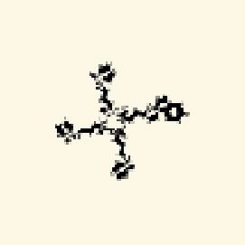 C=C[Si](C)(C=C)OCCC[Si]1(C)O[Si](C)(CCCO[Si](C)(C=C)C=C)O[Si](C)(CCCO[Si](C=C)(C=C)c2ccccc2)O[Si](C)(CCCO[Si](C)(C=C)C=C)O1